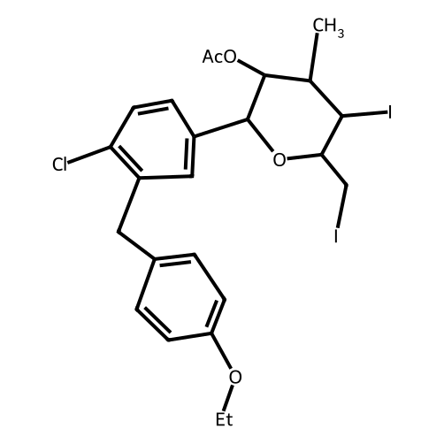 CCOc1ccc(Cc2cc(C3OC(CI)C(I)C(C)C3OC(C)=O)ccc2Cl)cc1